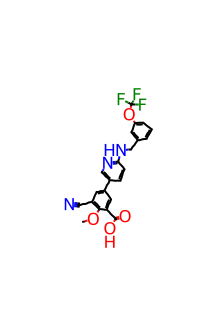 COc1c(C#N)cc(-c2ccc(NCc3cccc(OC(F)(F)F)c3)nc2)cc1C(=O)O